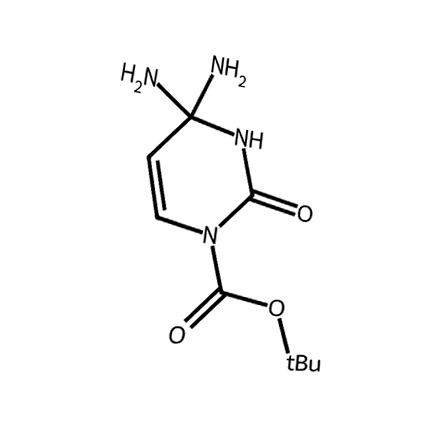 CC(C)(C)OC(=O)N1C=CC(N)(N)NC1=O